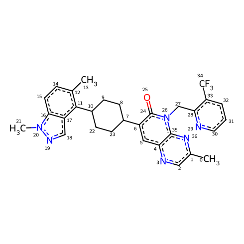 Cc1cnc2cc(C3CCC(c4c(C)ccc5c4cnn5C)CC3)c(=O)n(Cc3ncccc3C(F)(F)F)c2n1